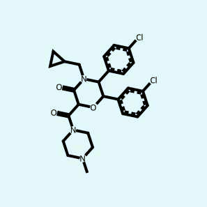 CN1CCN(C(=O)C2OC(c3cccc(Cl)c3)C(c3ccc(Cl)cc3)N(CC3CC3)C2=O)CC1